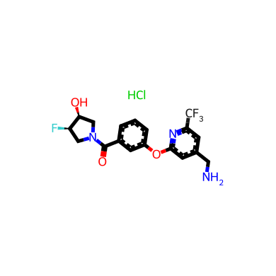 Cl.NCc1cc(Oc2cccc(C(=O)N3C[C@@H](F)[C@@H](O)C3)c2)nc(C(F)(F)F)c1